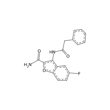 NC(=O)c1oc2ccc(F)cc2c1NC(=O)Cc1ccccc1